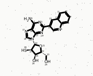 Nc1nc(-c2cnc3ccccc3c2)nc2c1ncn2[C@@H]1O[C@H](CO)[C@@H](O)[C@H]1S